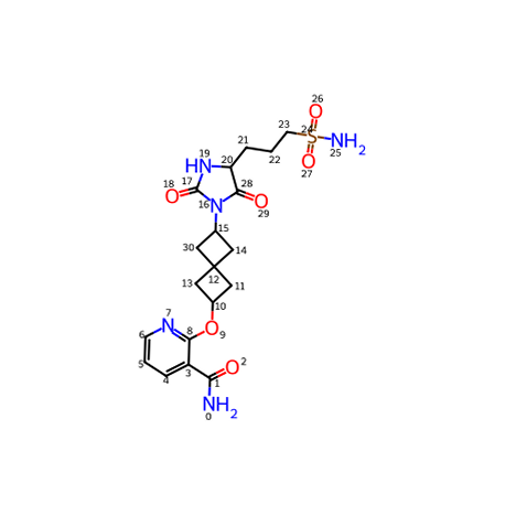 NC(=O)c1cccnc1OC1CC2(C1)CC(N1C(=O)NC(CCCS(N)(=O)=O)C1=O)C2